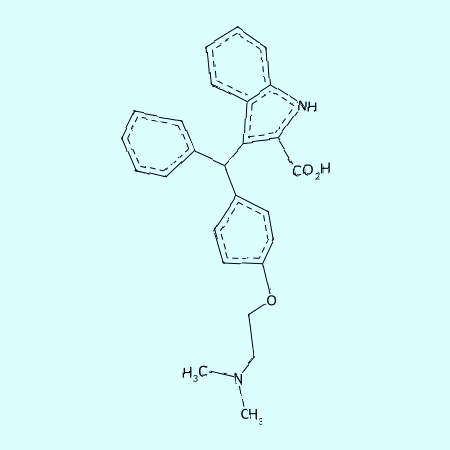 CN(C)CCOc1ccc(C(c2ccccc2)c2c(C(=O)O)[nH]c3ccccc23)cc1